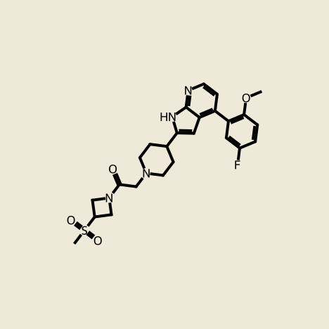 COc1ccc(F)cc1-c1ccnc2[nH]c(C3CCN(CC(=O)N4CC(S(C)(=O)=O)C4)CC3)cc12